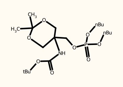 CCCCOP(=O)(OCCCC)OCC1(NC(=O)OC(C)(C)C)COC(C)(C)OC1